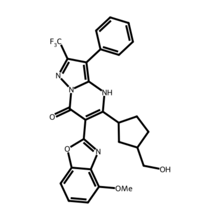 COc1cccc2oc(-c3c(C4CCC(CO)C4)[nH]c4c(-c5ccccc5)c(C(F)(F)F)nn4c3=O)nc12